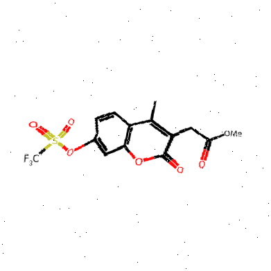 COC(=O)Cc1c(C)c2ccc(OS(=O)(=O)C(F)(F)F)cc2oc1=O